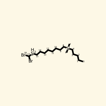 CCCCC[Si](C)(C)CCCCCCCC[SiH2]C(Br)Br